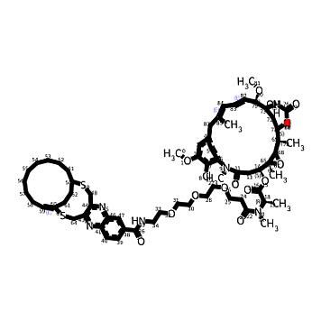 COc1cc2cc(c1Cl)N(C)C(=O)C[C@H](OC(=O)[C@@H](C)N(C)C(=O)CCOCCOCCOCCNC(=O)c1ccc3nc4c(nc3c1)CSC1CCCCCCCC/C=C(\CC1)SC4)[C@]1(C)OC1[C@H](C)[C@@H]1C[C@@](O)(NC(=O)O1)[C@H](OC)/C=C/C=C(\C)C2